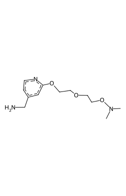 CN(C)OCCOCCOc1cc(CN)ccn1